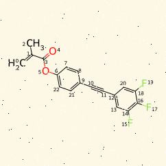 C=C(C)C(=O)Oc1ccc(C#Cc2cc(F)c(F)c(F)c2)cc1